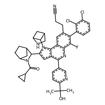 CC(C)(O)c1ccc(-c2nc3c(F)c(-c4cccc(Cl)c4Cl)c(CCC#N)cc3c3c2cc(C2C4CCC(C4)N2C(=O)C2CC2)n3C2C3CNC2C3)cn1